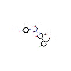 COC(C)CC(C(=O)Nc1ccc(C(N)=O)cc1)n1cc2c(cc1=O)-c1cc(Cl)ccc1CC(C)OC2C